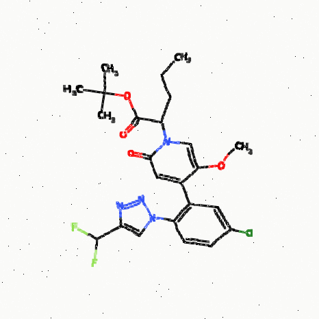 CCCC(C(=O)OC(C)(C)C)n1cc(OC)c(-c2cc(Cl)ccc2-n2cc(C(F)F)nn2)cc1=O